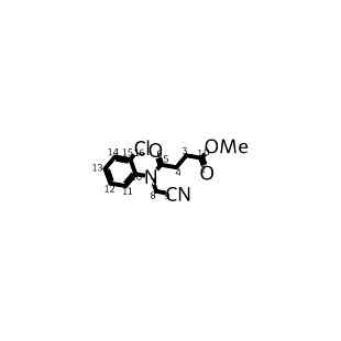 COC(=O)CCC(=O)N(CC#N)c1ccccc1Cl